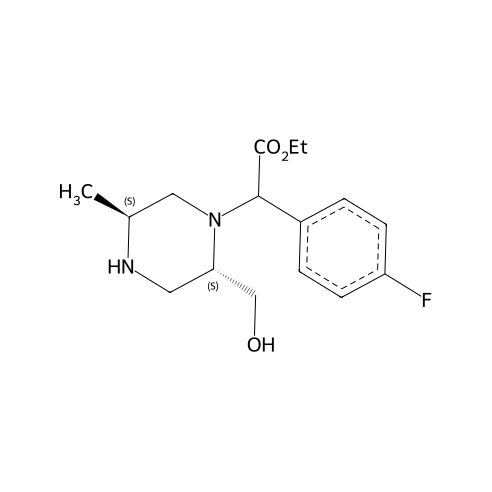 CCOC(=O)C(c1ccc(F)cc1)N1C[C@H](C)NC[C@H]1CO